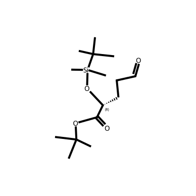 CC(C)(C)OC(=O)[C@@H](CCC=O)O[Si](C)(C)C(C)(C)C